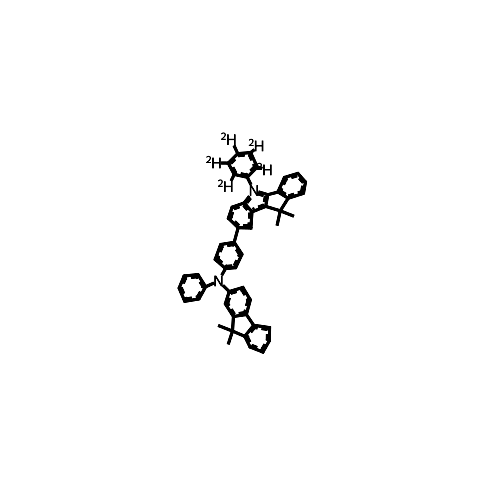 [2H]c1c([2H])c([2H])c(-n2c3c(c4cc(-c5ccc(N(c6ccccc6)c6ccc7c(c6)C(C)(C)c6ccccc6-7)cc5)ccc42)C(C)(C)c2ccccc2-3)c([2H])c1[2H]